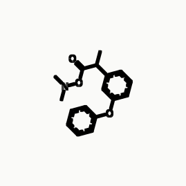 CC(C(=O)ON(C)C)c1cccc(Oc2ccccc2)c1